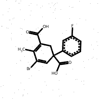 CC1=C(C(=O)O)CC(C(=O)O)(c2cccc(F)c2)C=C1Br